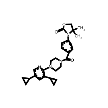 CC1(C)COC(=O)N1c1ccc(C(=O)N2CCN(c3ncc(C4CC4)cc3C3CC3)CC2)cc1